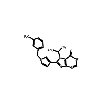 CCCC(OC(C)=O)n1c(-c2cnn(Cc3cccc(C(F)(F)F)c3)c2)nc2nc[nH]c(=O)c21